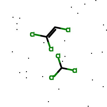 ClC(Cl)Cl.ClC=C(Cl)Cl